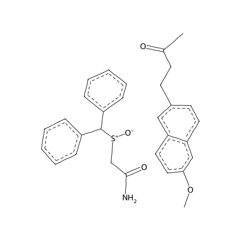 COc1ccc2cc(CCC(C)=O)ccc2c1.NC(=O)C[S+]([O-])C(c1ccccc1)c1ccccc1